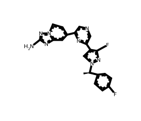 C[C@H](c1ccc(F)cc1)n1cc(-c2cncc(-c3ccn4nc(N)nc4c3)n2)c(F)n1